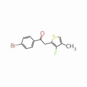 Cc1csc(CC(=O)c2ccc(Br)cc2)c1F